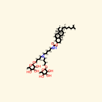 CC(C)CCC[C@@H](C)[C@H]1CC[C@H]2[C@@H]3CC=C4C[C@H](OC(=O)NCCCCCN(CCCCO[C@@H]5OC(C)[C@H](O)C(O)[C@@H]5O)CCCCO[C@@H]5OC(C)[C@H](O)C(O)[C@@H]5O)CC[C@]4(C)[C@H]3CC[C@]12C